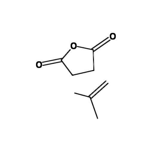 C=C(C)C.O=C1CCC(=O)O1